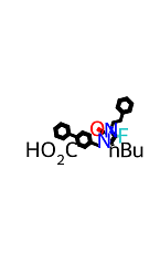 CCCCc1c(F)n(CCc2ccccc2)c(=O)n1Cc1ccc(-c2ccccc2)c(C(=O)O)c1